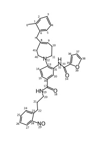 Cc1ccccc1CC1=CCCN(c2ccc(C(=O)NCCCc3ccccc3N=O)cc2NC(=O)c2ccco2)CC1